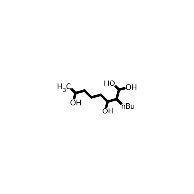 CCCCC(C(O)O)C(O)CCCC(C)O